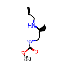 C=CCNC(=C)CNC(=O)OC(C)(C)C